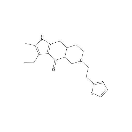 CCc1c(C)[nH]c2c1C(=O)C1CN(CCc3cccs3)CCC1C2